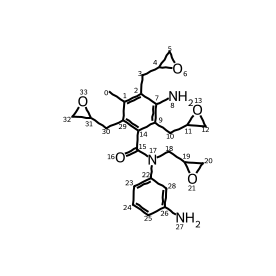 Cc1c(CC2CO2)c(N)c(CC2CO2)c(C(=O)N(CC2CO2)c2cccc(N)c2)c1CC1CO1